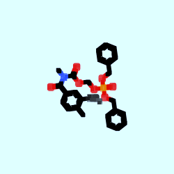 Cc1ccc(C(=O)N(C)C(=O)OCOP(=O)(OCc2ccccc2)OCc2ccccc2)cc1[N+](=O)[O-]